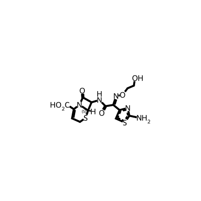 Nc1nc(C(=NOCCO)C(=O)NC2C(=O)N3C(C(=O)O)=CCS[C@@H]23)cs1